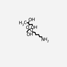 CC(O)C(CO)OC(CO)OCCCCCCN